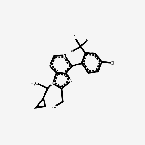 CCc1nc2c(-c3ccc(Cl)cc3C(F)(F)F)ncnc2n1C(C)C1CC1